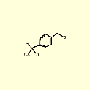 C[Si](Cl)(Cl)c1ccc(CCl)cc1